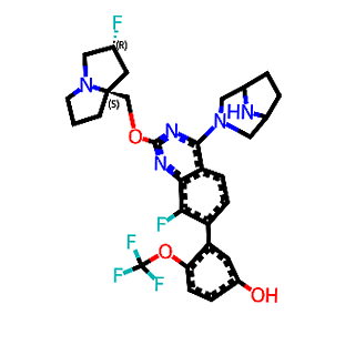 Oc1ccc(OC(F)(F)F)c(-c2ccc3c(N4CC5CCC(C4)N5)nc(OC[C@@]45CCCN4C[C@H](F)C5)nc3c2F)c1